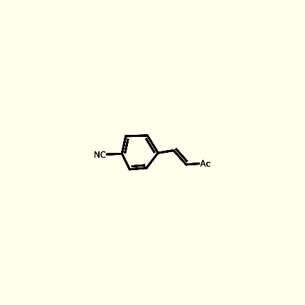 CC(=O)/C=C/c1ccc(C#N)cc1